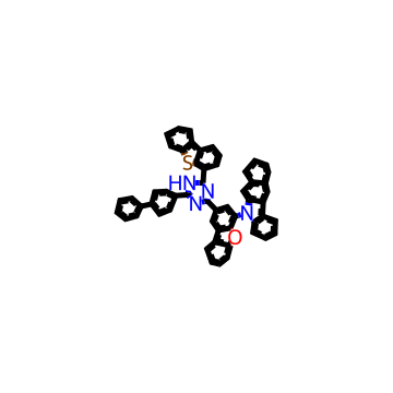 c1ccc(-c2ccc(C3=NC(c4cc(-n5c6ccccc6c6cc7ccccc7cc65)c5oc6ccccc6c5c4)=NC(c4cccc5c4sc4ccccc45)N3)cc2)cc1